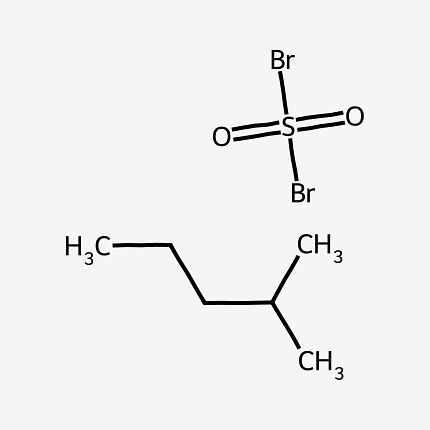 CCCC(C)C.O=S(=O)(Br)Br